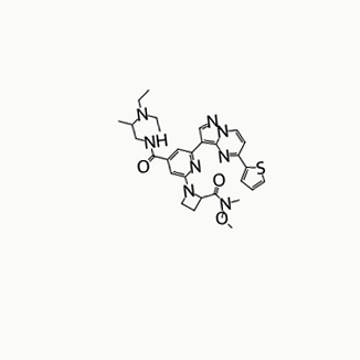 CCN(CC)C(C)CNC(=O)c1cc(-c2cnn3ccc(-c4cccs4)nc23)nc(N2CCC2C(=O)N(C)OC)c1